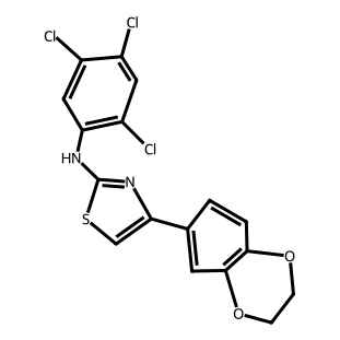 Clc1cc(Cl)c(Nc2nc(-c3ccc4c(c3)OCCO4)cs2)cc1Cl